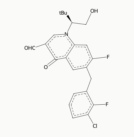 CC(C)(C)[C@@H](CO)n1cc(C=O)c(=O)c2cc(Cc3cccc(Cl)c3F)c(F)cc21